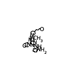 Cn1c(CN2CCC(CCC=O)CC2)nc2c(N3CCOCC3)nc(Nc3ccccc3N)nc21